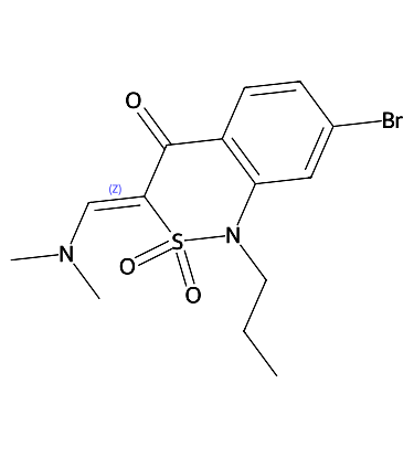 CCCN1c2cc(Br)ccc2C(=O)/C(=C/N(C)C)S1(=O)=O